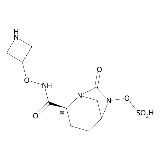 O=C(NOC1CNC1)[C@@H]1CCC2CN1C(=O)N2OS(=O)(=O)O